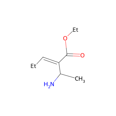 CCC=C(C(=O)OCC)C(C)N